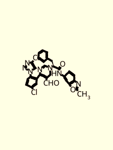 Cc1nc2ccc(NC(=O)[C@H](Cc3ccccc3)N3C=NC(c4cc(Cl)ccc4-n4cc(Cl)nn4)=C(C=O)C3)cc2o1